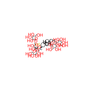 C=C1CC2CCC3[C@](C)(C(=O)OC4OC(CO)C(O)C(O)C4OC4OC(CO)C(O)C(O)C4O)CCC[C@@]3(C)[C@@H]2CCC1(S)OC1OC(COC2OC(CO)C(O)C(O)C2O)C(O)C(O)C1OC1OC(CO)C(O)C(O)C1O